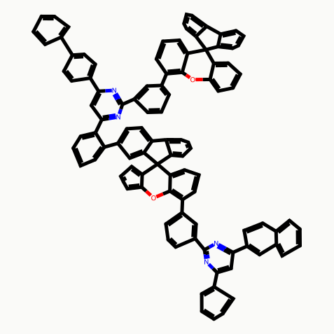 c1ccc(-c2ccc(-c3cc(-c4ccccc4-c4ccc5c(c4)C4(c6ccccc6Oc6c(-c7cccc(-c8nc(-c9ccccc9)cc(-c9ccc%10ccccc%10c9)n8)c7)cccc64)c4ccccc4-5)nc(-c4cccc(-c5cccc6c5Oc5ccccc5C65c6ccccc6-c6ccccc65)c4)n3)cc2)cc1